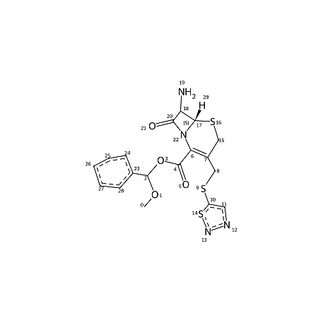 COC(OC(=O)C1=C(CSc2cnns2)CS[C@H]2C(N)C(=O)N12)c1ccccc1